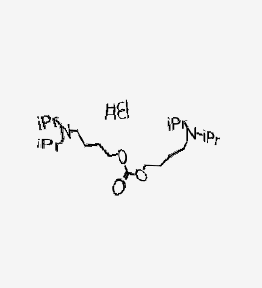 CC(C)N(CCCCOC(=O)OCCCCN(C(C)C)C(C)C)C(C)C.Cl.Cl